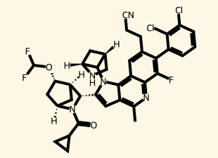 Cc1nc2c(F)c(-c3cccc(Cl)c3Cl)c(CCC#N)cc2c2c1cc([C@H]1[C@H]3C[C@H](C[C@@H]3OC(F)F)N1C(=O)C1CC1)n2C1[C@H]2CN[C@@H]1C2